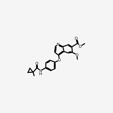 COC(=O)c1cc2nccc(Oc3ccc(NC(=O)C4(C)CC4)cc3)c2cc1OC